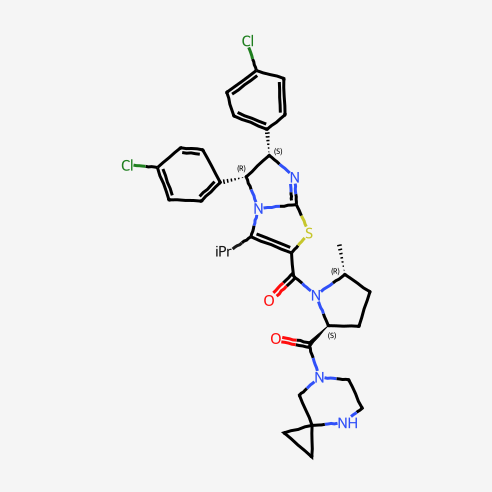 CC(C)C1=C(C(=O)N2[C@H](C)CC[C@H]2C(=O)N2CCNC3(CC3)C2)SC2=N[C@@H](c3ccc(Cl)cc3)[C@@H](c3ccc(Cl)cc3)N21